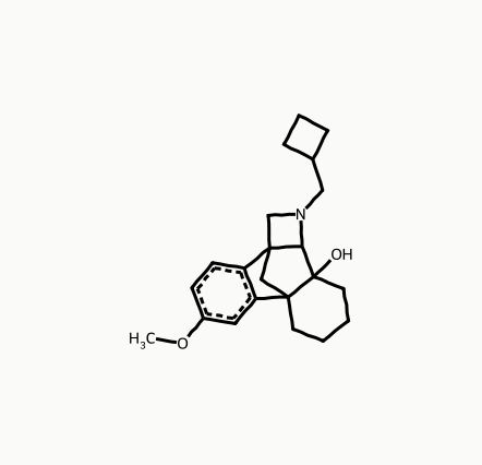 COc1ccc2c(c1)C13CCCCC1(O)C1N(CC4CCC4)CC21C3